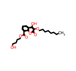 CCCCCCCCOc1c(O)c2cccc(C(=O)OCCCCO)c2oc1=O